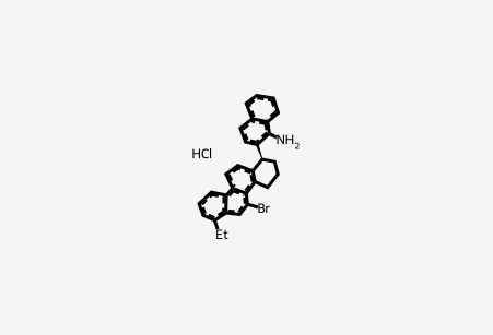 CCc1cccc2c1cc(Br)c1c3c(ccc12)[C@@H](c1ccc2ccccc2c1N)CCC3.Cl